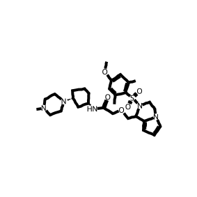 COc1cc(C)c(S(=O)(=O)N2CCn3cccc3C2COCC(=O)N[C@H]2CCC[C@@H](N3CCN(C)CC3)C2)c(C)c1